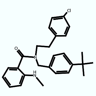 CNc1ccccc1C(=O)N(CCc1ccc(Cl)cc1)Cc1ccc(C(C)(C)C)cc1